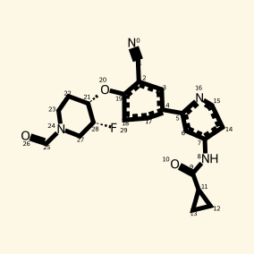 N#Cc1cc(-c2cc(NC(=O)C3CC3)ccn2)ccc1O[C@H]1CCN(C=O)C[C@H]1F